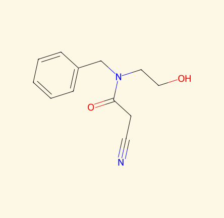 N#CCC(=O)N(CCO)Cc1ccccc1